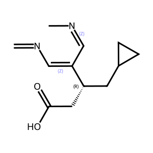 C=N/C=C(\C=N/C)[C@@H](CC(=O)O)CC1CC1